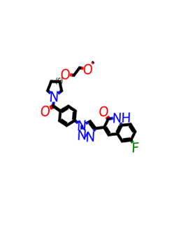 COCCO[C@H]1CCN(C(=O)c2ccc(-n3cc(-c4cc5cc(F)ccc5[nH]c4=O)nn3)cc2)C1